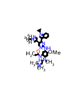 [2H]C([2H])([2H])n1cc(-c2cnc(Nc3cc(NC(=O)C=C)c(N(C)CCN(C)C)cc3OC)nc2-c2cn(C3CC3)c3ccccc23)cn1